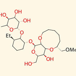 CC[C@@H]1CCC[C@@H](O[C@@H]2OC(CO)[C@H](O)C3O[C@@H](COC)CCCCCOC32)C1O[C@@H]1OC(C)[C@@H](O)C(O)[C@@H]1O